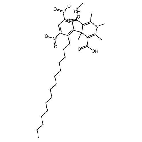 CCCCCCCCCCCCCCCc1c([N+](=O)[O-])cc([N+](=O)[O-])c(OCC)c1C1(C)C(C(=O)O)=C(C)N(C)C(C)=C1C(=O)O